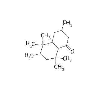 CC1CC(=O)C2C(C1)C(C)(C)C(C)CC2(C)C